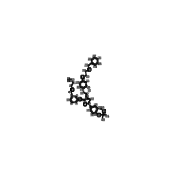 BrCCOCc1ccccc1.C[C@@H](Cc1ccc(OCCOCc2ccccc2)cc1)N1C[C@@H](c2ccc3c(c2)COC(C)(C)O3)OC1=O